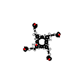 COc1cc(O)c2cc1C(c1ccc(C(=O)OCCOC3C4CC5CC3CC(C)(C5)C4)cc1)c1cc(c(OC)cc1O)C(c1ccc(C(=O)OCCOC3C4CC5CC3CC(C)(C5)C4)cc1)c1cc(c(OC)cc1O)C(c1ccc(C(=O)OCCOC3C4CC5CC3CC(C)(C5)C4)cc1)c1cc(c(OC)cc1O)C2c1ccc(C(=O)OCCOC2C3CC4CC2CC(C)(C4)C3)cc1